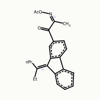 CCC/C(CC)=C1/c2ccccc2-c2ccc(C(=O)/C(C)=N\OC(C)=O)cc21